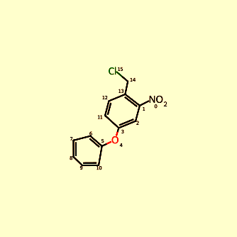 O=[N+]([O-])c1cc(Oc2ccccc2)ccc1CCl